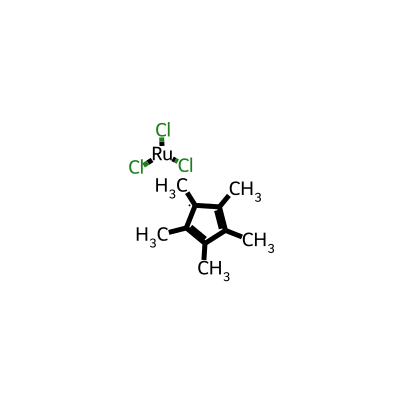 C[C]1C(C)=C(C)C(C)=C1C.[Cl][Ru]([Cl])[Cl]